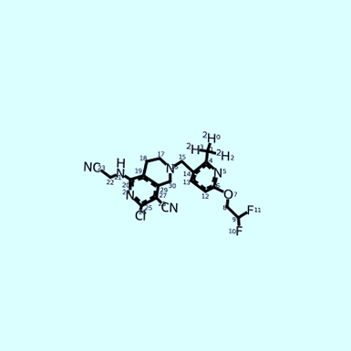 [2H]C([2H])([2H])c1nc(OCC(F)F)ccc1CN1CCc2c(NCC#N)nc(Cl)c(C#N)c2C1